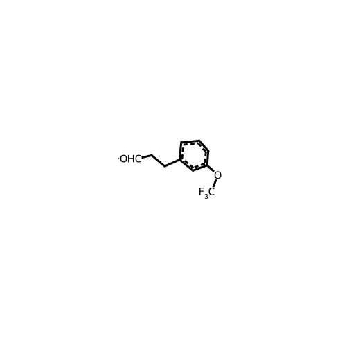 O=[C]CCc1cccc(OC(F)(F)F)c1